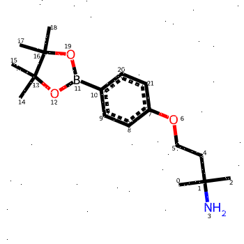 CC(C)(N)CCOc1ccc(B2OC(C)(C)C(C)(C)O2)cc1